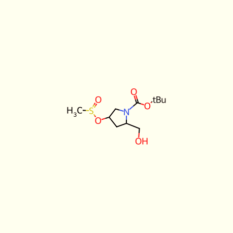 CS(=O)OC1CC(CO)N(C(=O)OC(C)(C)C)C1